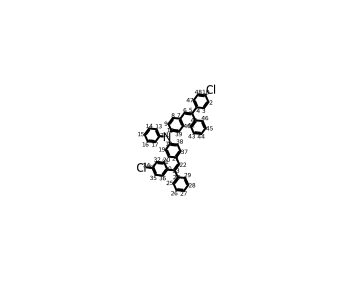 Clc1ccc(C(=Cc2ccc(N(c3ccccc3)c3ccc(C=C(c4ccccc4)c4ccc(Cl)cc4)cc3)cc2)c2ccccc2)cc1